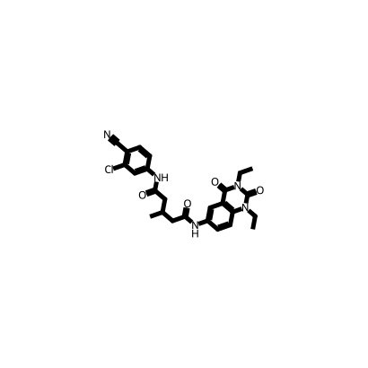 CCn1c(=O)c2cc(NC(=O)CC(C)CC(=O)Nc3ccc(C#N)c(Cl)c3)ccc2n(CC)c1=O